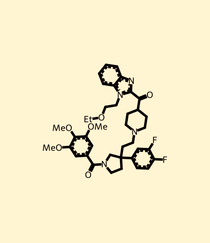 CCOCCn1c(C(=O)C2CCN(CCC3(c4ccc(F)c(F)c4)CCN(C(=O)c4cc(OC)c(OC)c(OC)c4)C3)CC2)nc2ccccc21